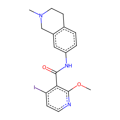 COc1nccc(I)c1C(=O)Nc1ccc2c(c1)CN(C)CC2